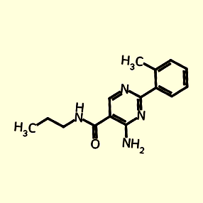 CCCNC(=O)c1cnc(-c2ccccc2C)nc1N